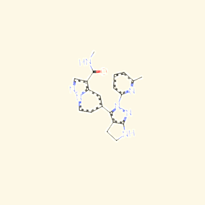 CNC(=O)c1cnn2ccc(-c3c4c(nn3-c3cccc(C)n3)NCC4)cc12